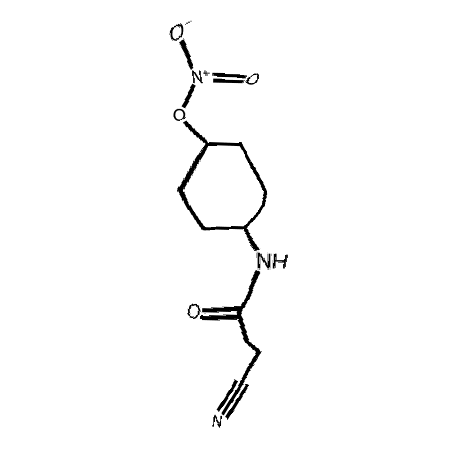 N#CCC(=O)NC1CCC(O[N+](=O)[O-])CC1